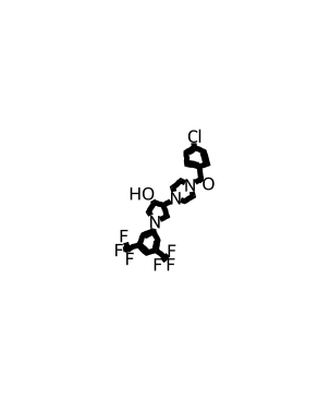 O=C(c1ccc(Cl)cc1)N1CCN(C2CN(c3cc(C(F)(F)F)cc(C(F)(F)F)c3)CC2O)CC1